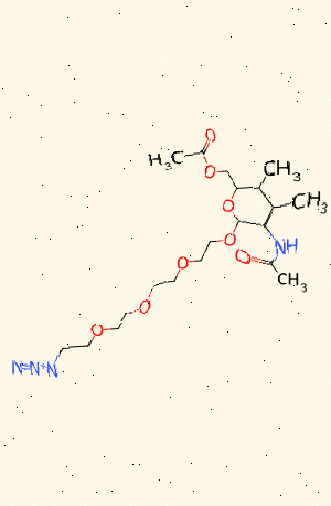 CC(=O)NC1C(OCCOCCOCCOCCN=[N+]=[N-])OC(COC(C)=O)C(C)C1C